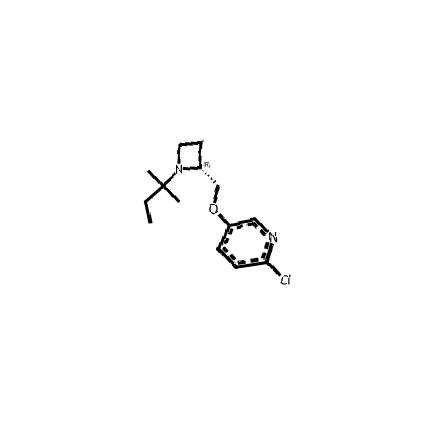 CCC(C)(C)N1CC[C@@H]1COc1ccc(Cl)nc1